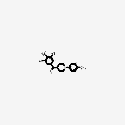 Cc1ccc(N2CCC(C(=O)c3cc(Cl)c(N)c(Cl)c3)CC2)cc1